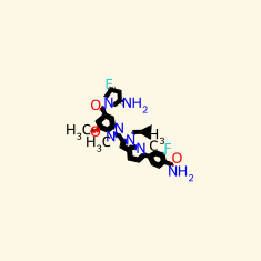 COc1cc(C(=O)N2C[C@H](N)C[C@@H](F)C2)cc2nc(-c3cc4ccc(-c5ccc(C(N)=O)c(F)c5C)nc4n3CC3CC3)n(C)c12